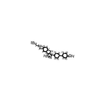 CC(C)(C)CNCc1ccc2c(c1)-c1[nH]nc(-c3ccc(-c4ccc(O)cc4)cc3)c1C2